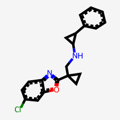 Clc1ccc2nc(C3(CNC4CC4c4ccccc4)CC3)oc2c1